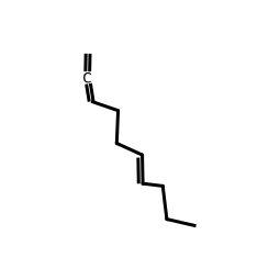 C=C=CCCC=CCCC